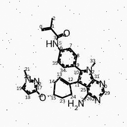 C=C(C)C(=O)Nc1ccc(-c2c(C3=CC[C@@H](Oc4ccn(C)n4)CC3)c3c(N)ncnc3n2C)cc1